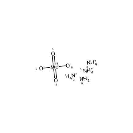 [NH2-].[NH4+].[NH4+].[NH4+].[O]=[Mo](=[O])([O-])[O-]